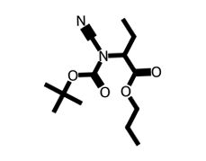 CCCOC(=O)C(CC)N(C#N)C(=O)OC(C)(C)C